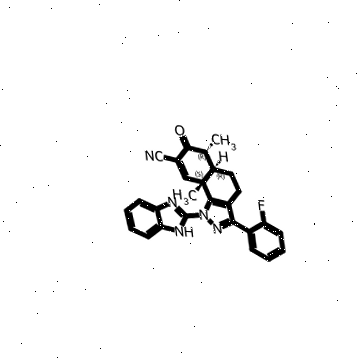 C[C@H]1C(=O)C(C#N)=C[C@@]2(C)c3c(c(-c4ccccc4F)nn3-c3nc4ccccc4[nH]3)CC[C@H]12